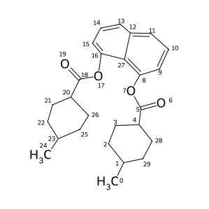 CC1CCC(C(=O)Oc2cccc3cccc(OC(=O)C4CCC(C)CC4)c23)CC1